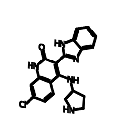 O=c1[nH]c2cc(Cl)ccc2c(NC2CCNC2)c1-c1nc2ccccc2[nH]1